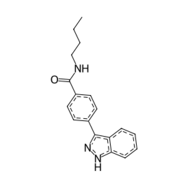 CCCCNC(=O)c1ccc(-c2n[nH]c3ccccc23)cc1